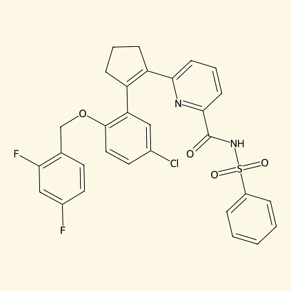 O=C(NS(=O)(=O)c1ccccc1)c1cccc(C2=C(c3cc(Cl)ccc3OCc3ccc(F)cc3F)CCC2)n1